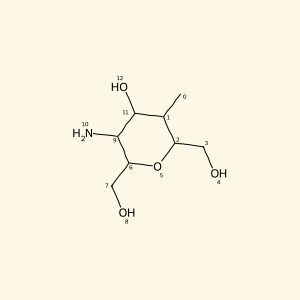 CC1C(CO)OC(CO)C(N)C1O